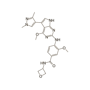 COc1cc(C(=O)NC2COC2)ccc1Nc1nc(OC)c2c(-c3cn(C)nc3C)c[nH]c2n1